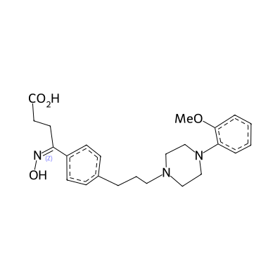 COc1ccccc1N1CCN(CCCc2ccc(/C(CCC(=O)O)=N\O)cc2)CC1